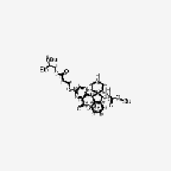 CCCCC(CC)COC(=O)CCSc1cnc(C2c3ccccc3[C@@H](NC(=O)OC(C)(C)C)C23CCNCC3)c(C(=O)OC)n1